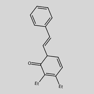 CCC1=C(CC)C(=O)C(C=Cc2ccccc2)C=C1